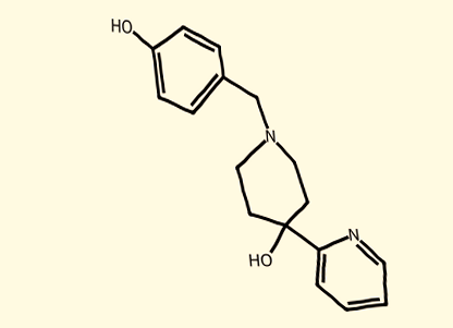 Oc1ccc(CN2CCC(O)(c3ccccn3)CC2)cc1